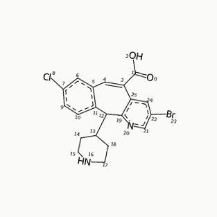 O=C(O)C1=Cc2cc(Cl)ccc2C(C2CCNCC2)c2ncc(Br)cc21